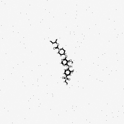 CCC(C)OC(=O)N1CCC(Oc2ncnc(Nc3ccc(S(=O)(=O)CC)cc3F)c2OC)CC1